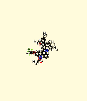 CCCCC(CC)Cn1c2ccc(C(=O)c3c(C)cc(C)cc3C)cc2c2cc(/C(=N/OC(C)=O)c3ccc(OCC(F)(F)C(F)F)cc3C)c3ccccc3c21